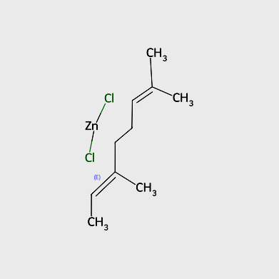 C/C=C(\C)CCC=C(C)C.[Cl][Zn][Cl]